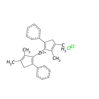 CC1=C(C)[C]([Zr+2][C]2=C(c3ccccc3)CC(C)=C2C)=C(c2ccccc2)C1.[Cl-].[Cl-]